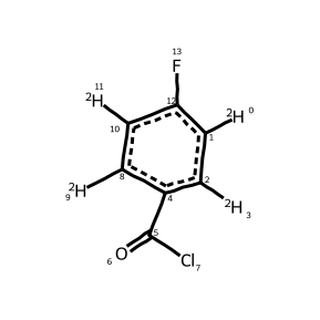 [2H]c1c([2H])c(C(=O)Cl)c([2H])c([2H])c1F